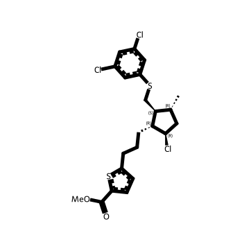 COC(=O)c1ccc(CCC[C@@H]2[C@@H](CSc3cc(Cl)cc(Cl)c3)[C@H](C)C[C@H]2Cl)s1